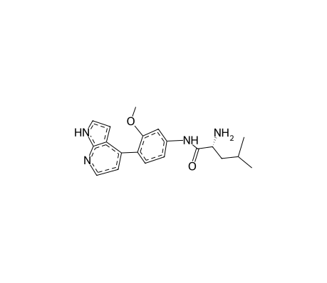 COc1cc(NC(=O)[C@H](N)CC(C)C)ccc1-c1ccnc2[nH]ccc12